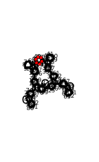 c1ccc(-n2c3ccccc3c3cc(-c4ccc5c(c4)c4c6oc7c(ccc8c7c7cc(-c9ccc%10c(c9)c9ccccc9n%10-c9ccccc9)ccc7n8-c7ccc8oc9ccccc9c8c7)c6ccc4n5-c4ccc5oc6ccccc6c5c4)ccc32)cc1